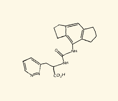 O=C(Nc1c2c(cc3c1CCC3)CCC2)NC(Cc1cccnn1)C(=O)O